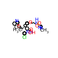 C[C@@H](COc1ccnc2c1[C@H](C)CCC2)C[C@H]1Cc2ccc(OCCCNS(=O)(=O)c3ccn(C)n3)cc2C12CCC(Nc1cccc(Cl)c1)(C(=O)O)CC2